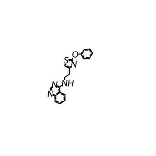 c1ccc(Oc2nc(CCNc3ncnc4ccccc34)cs2)cc1